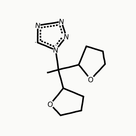 CC(C1CCCO1)(C1CCCO1)n1[c]nnn1